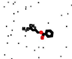 C=C(C)CCCOC(=O)c1ccccc1